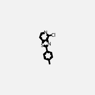 Cc1ccc(-c2nc3c(Cl)nccc3s2)cc1